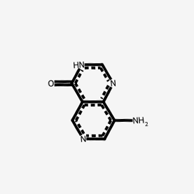 Nc1cncc2c(=O)[nH]cnc12